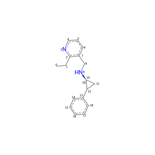 CCc1ncccc1CN[C@H]1CC1c1ccccc1